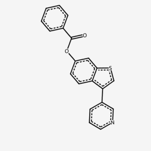 O=C(Oc1ccc2c(-c3cccnc3)csc2c1)c1ccccc1